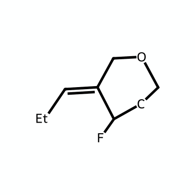 CC/C=C1/COCCC1F